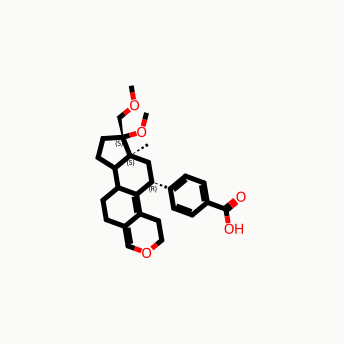 COC[C@]1(OC)CCC2C3CCC4=COCCC4=C3[C@@H](c3ccc(C(=O)O)cc3)C[C@@]21C